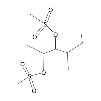 CCC(C)C(OS(C)(=O)=O)C(C)OS(C)(=O)=O